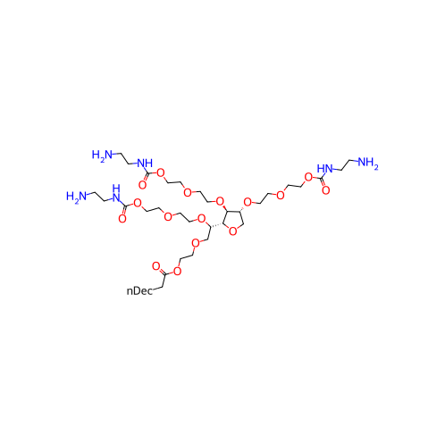 CCCCCCCCCCCC(=O)OCCOCC(OCCOCCOC(=O)NCCN)[C@H]1OC[C@@H](OCCOCCOC(=O)NCCN)[C@@H]1OCCOCCOC(=O)NCCN